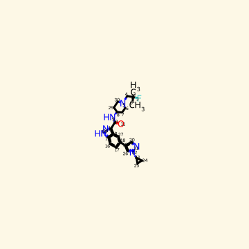 CC(C)(F)CN1CCC(NC(=O)c2n[nH]c3ccc(-c4cnn(C5CC5)c4)cc23)CC1